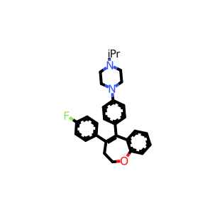 CC(C)N1CCN(c2ccc(C3=C(c4ccc(F)cc4)CCOc4ccccc43)cc2)CC1